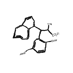 CCOC(=O)C(C#N)C(c1cc(OC)ccc1OC)c1cccc2ccccc12